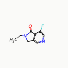 CCN1Cc2cncc(F)c2C1=O